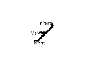 CCCCC/C=C\C/C=C\CCCCCCCCC(CCCCCCCC/C=C\C/C=C\CCCCC)OC(=O)CC#CNC